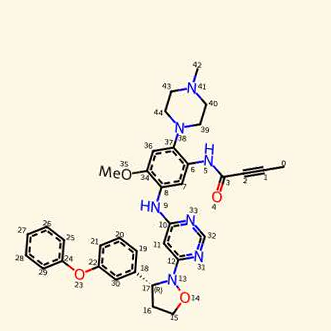 CC#CC(=O)Nc1cc(Nc2cc(N3OCC[C@@H]3c3cccc(Oc4ccccc4)c3)ncn2)c(OC)cc1N1CCN(C)CC1